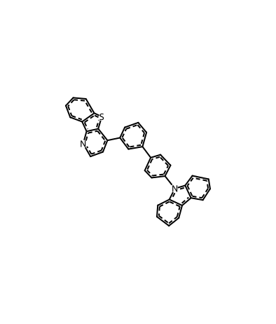 c1cc(-c2ccc(-n3c4ccccc4c4ccccc43)cc2)cc(-c2ccnc3c2sc2ccccc23)c1